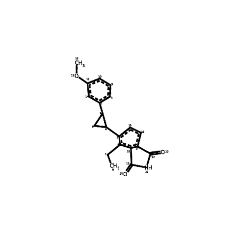 CCc1c(C2CC2c2cccc(OC)c2)ccc2c1C(=O)NC2=O